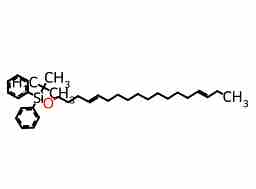 CCC=CCCCCCCCCCC=CCCCO[Si](c1ccccc1)(c1ccccc1)C(C)(C)C